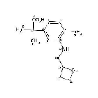 CC(C)(C(=O)O)c1ccc(N)c(NCC2CCO2)c1